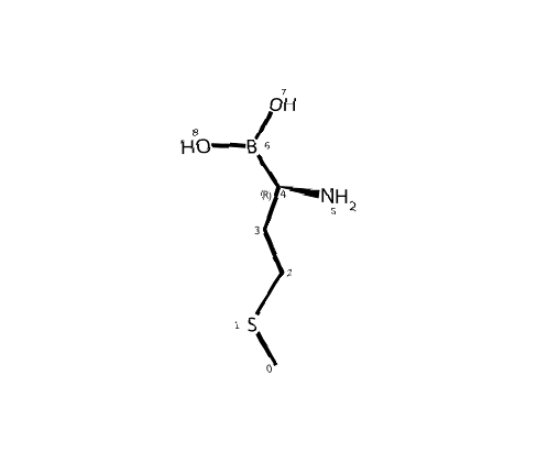 CSCC[C@H](N)B(O)O